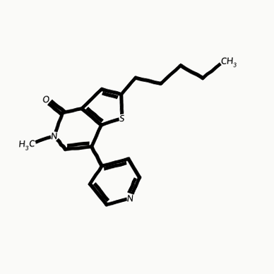 CCCCCc1cc2c(=O)n(C)cc(-c3ccncc3)c2s1